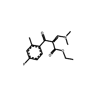 CCOC(=O)/C(=C\N(C)C)C(=O)c1ccc(F)cc1C